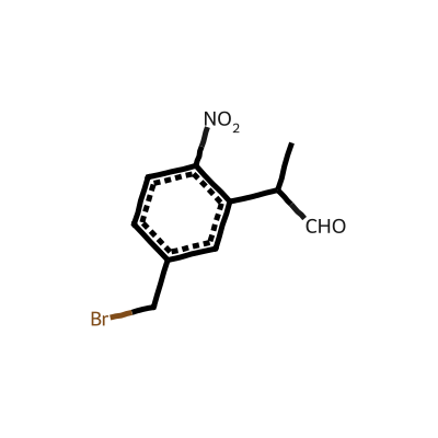 CC(C=O)c1cc(CBr)ccc1[N+](=O)[O-]